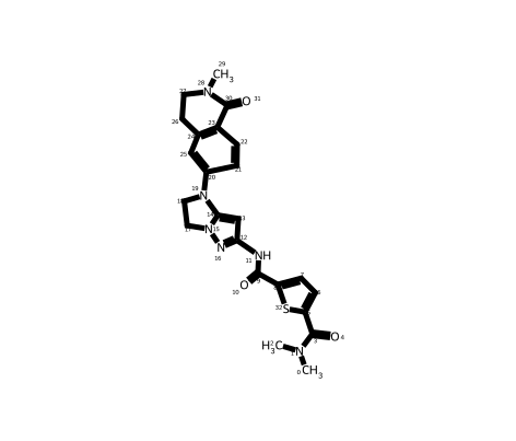 CN(C)C(=O)c1ccc(C(=O)Nc2cc3n(n2)CCN3c2ccc3c(c2)CCN(C)C3=O)s1